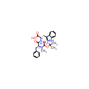 CN(C(=O)OC(C)(C)C)[C@@H](Cc1ccccc1)C(=O)N[C@@H](Cc1c[nH]c2ccccc12)C(=O)O